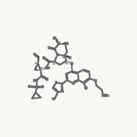 C=C[C@@H]1C[C@]1(NC(=O)[C@@H]1C[C@@H](Oc2cc(-c3nc(C(C)C)cs3)nc3c(Cl)c(OCCOC)ccc23)[C@H]2CN[C@H](C(C)C)C(=O)N21)C(=O)NS(=O)(=O)C1CC1